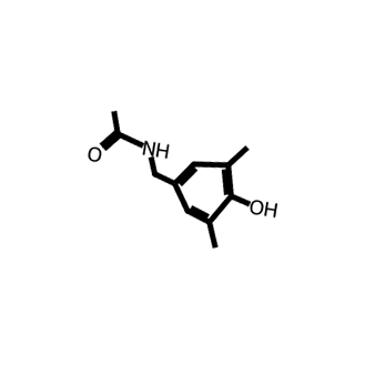 CC(=O)NCc1cc(C)c(O)c(C)c1